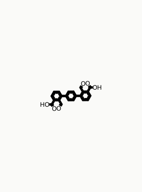 O=Cc1c(C(=O)O)cccc1-c1ccc(-c2cccc(C(=O)O)c2C=O)cc1